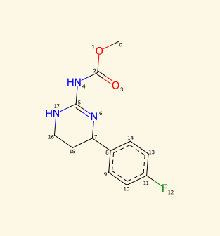 COC(=O)NC1=NC(c2ccc(F)cc2)CCN1